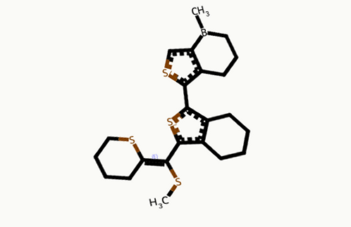 CS/C(=C1\CCCCS1)c1sc(-c2scc3c2CCCB3C)c2c1CCCC2